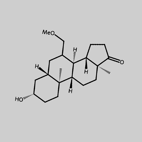 COCC1C[C@H]2C[C@@H](O)CC[C@]2(C)[C@H]2CC[C@]3(C)C(=O)CC[C@H]3[C@H]12